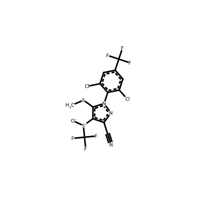 CSc1c([S+]([O-])C(F)(F)F)c(C#N)nn1-c1c(Cl)cc(C(F)(F)F)cc1Cl